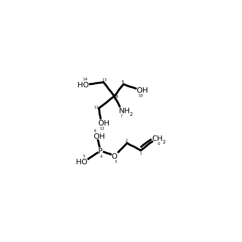 C=CCOP(O)O.NC(CO)(CO)CO